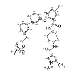 Cc1cc(C(=O)NC2CCC(NC(=O)c3cc(F)cnc3Oc3cccc(-c4cccc(CCOS(C)(=O)=O)c4)c3)CC2)nn1C